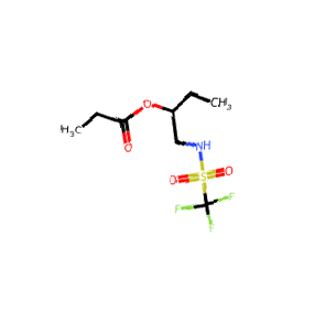 CCC(=O)OC(CC)CNS(=O)(=O)C(F)(F)F